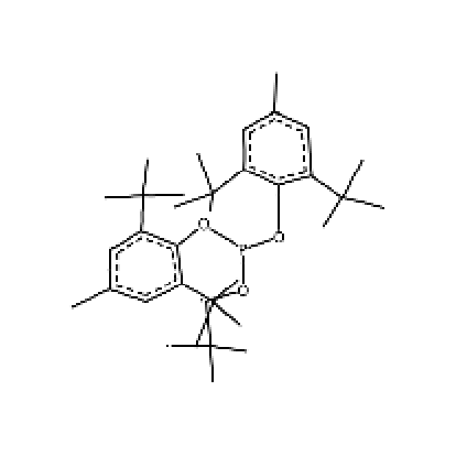 [CH2]C(C)(C)[C]OP(Oc1c(C(C)(C)C)cc(C)cc1C(C)(C)C)Oc1c(C(C)(C)C)cc(C)cc1C(C)(C)C